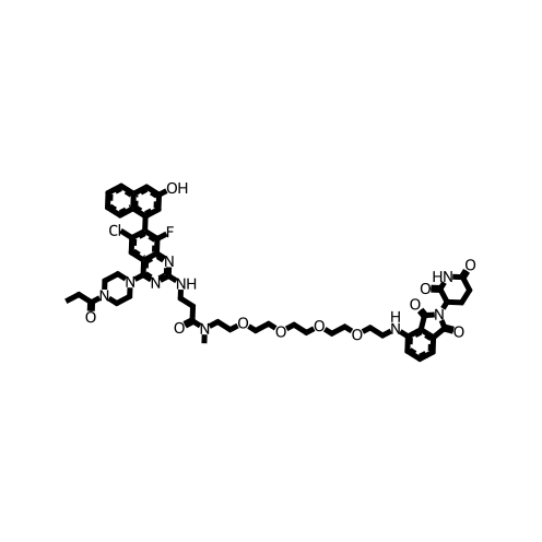 CCC(=O)N1CCN(c2nc(NCCC(=O)N(C)CCOCCOCCOCCOCCNc3cccc4c3C(=O)N(C3CCC(=O)NC3=O)C4=O)nc3c(F)c(-c4cc(O)cc5ccccc45)c(Cl)cc23)CC1